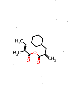 C=C(CC1CCCCC1)C(=O)OC(=O)C(C)=CC